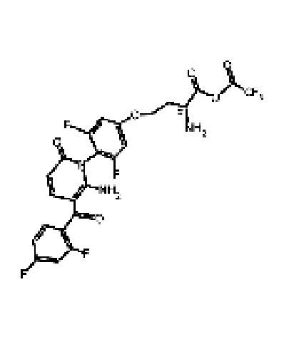 Nc1c(C(=O)c2ccc(F)cc2F)ccc(=O)n1-c1c(F)cc(OCC[C@H](N)C(=O)OC(=O)C(F)(F)F)cc1F